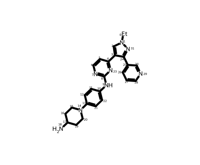 CCn1cc(-c2ccnc(Nc3ccc(N4CCC(N)CC4)cc3)n2)c(-c2cccnc2)n1